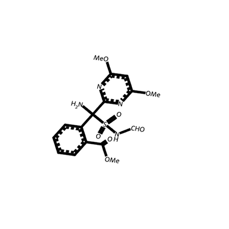 COC(=O)c1ccccc1C(N)(c1nc(OC)cc(OC)n1)S(=O)(=O)NC=O